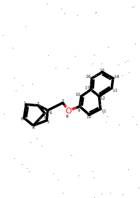 C1=CC2CC1CC2COc1ccc2ccccc2c1